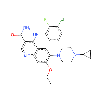 CCOc1cc2ncc(C(N)=O)c(Nc3cccc(Cl)c3F)c2cc1N1CCN(C2CC2)CC1